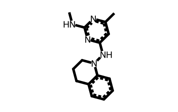 CNc1nc(C)cc(NN2CCCc3ccccc32)n1